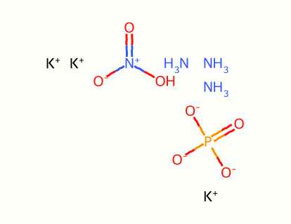 N.N.N.O=P([O-])([O-])[O-].O=[N+]([O-])O.[K+].[K+].[K+]